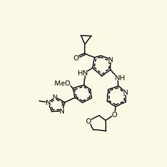 COc1c(Nc2cc(Nc3ccc(OC4CCOC4)cn3)ncc2C(=O)C2CC2)cccc1-c1ncn(C)n1